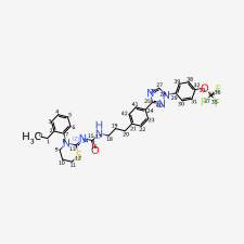 CCc1ccccc1N1CCCS/C1=N\C(=O)NCCCc1ccc(-c2ncn(-c3ccc(OC(F)(F)F)cc3)n2)cc1